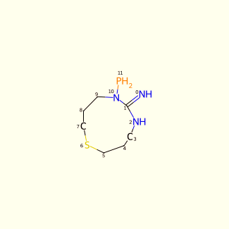 N=C1NCCCSCCCN1P